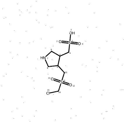 O=S(=O)(O)CC1CNCC1CS(=O)(=O)CCl